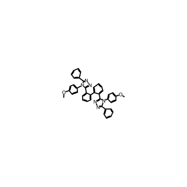 COc1ccc(-n2c(-c3ccccc3)nnc2-c2ccccc2-c2ccccc2-c2nnc(-c3ccccc3)n2-c2ccc(OC)cc2)cc1